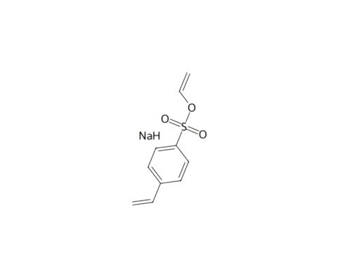 C=COS(=O)(=O)c1ccc(C=C)cc1.[NaH]